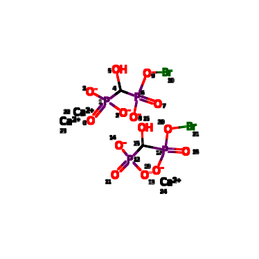 O=P([O-])([O-])C(O)P(=O)([O-])OBr.O=P([O-])([O-])C(O)P(=O)([O-])OBr.[Ca+2].[Ca+2].[Ca+2]